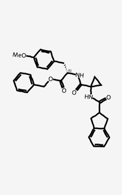 COc1ccc(C[C@H](NC(=O)C2(NC(=O)C3Cc4ccccc4C3)CC2)C(=O)OCc2ccccc2)cc1